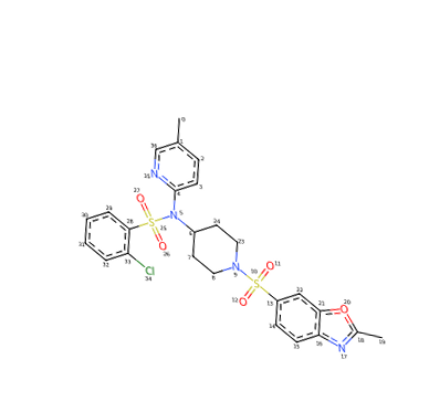 Cc1ccc(N(C2CCN(S(=O)(=O)c3ccc4nc(C)oc4c3)CC2)S(=O)(=O)c2ccccc2Cl)nc1